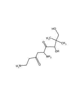 CC(C)(CO)C(O)C(=O)C(N)CC(=O)CCN